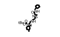 Cc1ccc2c(c1)nc(CNCCc1nc(C(=O)NCc3ccccc3)cs1)n2C(=O)OC(C)(C)C